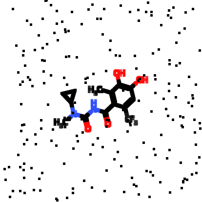 Cc1c(O)c(O)cc(C(F)(F)F)c1C(=O)NC(=O)N(C)C1CC1